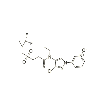 CCN(C(=S)CCS(=O)(=O)CC1CC1(F)F)c1cn(-c2ccc[n+]([O-])c2)nc1Cl